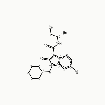 CC(C)(C)[C@@H](CO)NC(=O)n1c(=O)n(CC2CCCCC2)c2cc(Br)ccc21